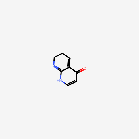 O=c1cc[nH]c2c1=CCCN=2